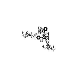 CCc1cc(OCOCC[Si](C)(C)C)c(F)cc1-c1cc2c(c(I)nn2COCC[Si](C)(C)C)c(NCc2ccccc2N(CC)S(=O)(=O)CC)n1